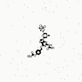 CC(C)C(=O)Nc1nc(OCc2ccc(OC(=O)C(C)(C)C)cc2)c2ncn(C3CN(C)C[C@@H](COP(=O)(Cl)N(C)C)O3)c2n1